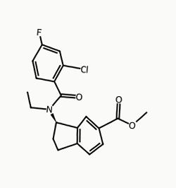 CCN(C(=O)c1ccc(F)cc1Cl)[C@@H]1CCc2ccc(C(=O)OC)cc21